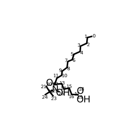 CCCCCCCCCCCCC1(CCCCC(=O)O)OCC(C)(C)N1O